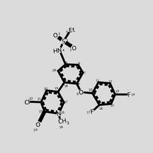 CCS(=O)(=O)Nc1ccc(Oc2ccc(F)cc2F)c(-c2cc(Cl)c(=O)n(C)c2)c1